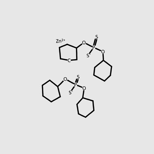 S=P([S-])(OC1CCCCC1)OC1CCCCC1.S=P([S-])(OC1CCCCC1)OC1CCCCC1.[Zn+2]